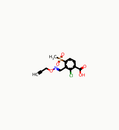 C#CCON=Cc1c(S(C)(=O)=O)ccc(C(=O)O)c1Cl